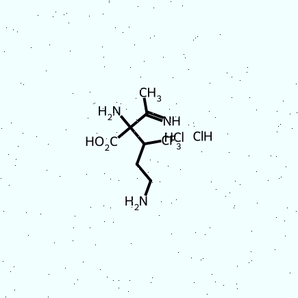 CC(=N)C(N)(C(=O)O)C(CCN)C(F)(F)F.Cl.Cl